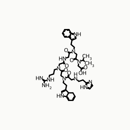 CC(C)N(CC(=O)O)C(=O)CN(CCc1c[nH]c2ccccc12)C(=O)CNC(=O)CN(CCCNC(=N)N)C(=O)CN(CCC1=CNC2=CC=CCC12)C(=O)CNCCc1ncc[nH]1